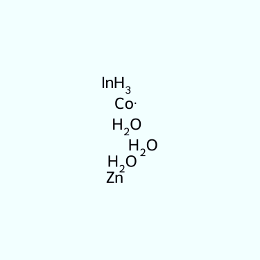 O.O.O.[Co].[InH3].[Zn]